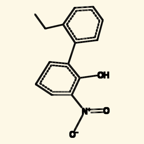 CCc1ccccc1-c1cccc([N+](=O)[O-])c1O